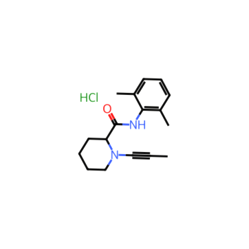 CC#CN1CCCCC1C(=O)Nc1c(C)cccc1C.Cl